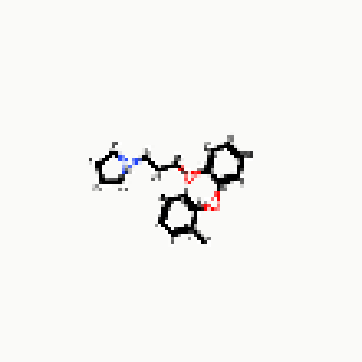 Cc1ccccc1Oc1ccccc1OCCCN1CCCC1